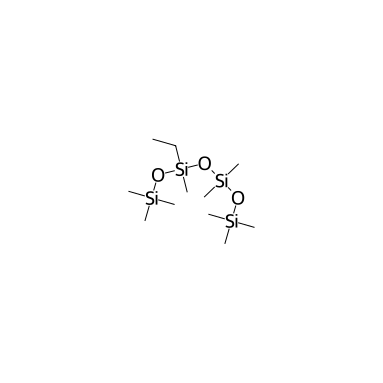 CC[Si](C)(O[Si](C)(C)C)O[Si](C)(C)O[Si](C)(C)C